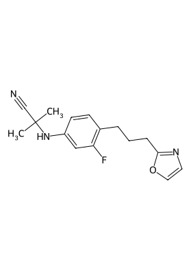 CC(C)(C#N)Nc1ccc(CCCc2ncco2)c(F)c1